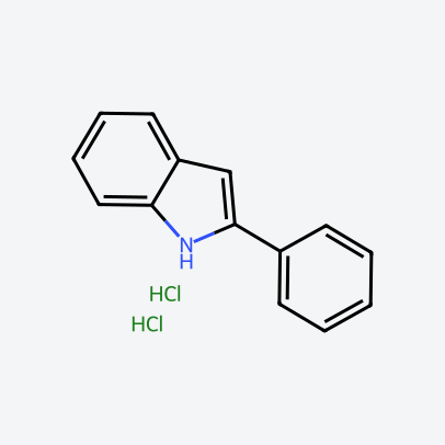 Cl.Cl.c1ccc(-c2cc3ccccc3[nH]2)cc1